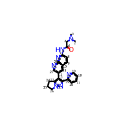 CN(C)CC(=O)Nc1ccc2cc(-c3c(-c4ccccn4)nn4c3CCC4)cnc2n1